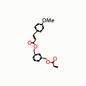 C=CC(=O)OCc1cccc(COC(=O)C=Cc2ccc(OC)cc2)c1